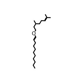 CCCCCCCCCC=COCCC(C)CCC=C(C)C